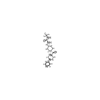 CC(C)(C)NC(=O)NC[C@H]1CC[C@H](C(=O)N2CCN(c3ccncc3)CC2)CC1